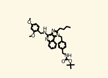 CCCCc1nc2c(NCc3ccc(OC)cc3OC)nc3ccccc3c2n1Cc1ccc(CNC(=O)OC(C)(C)C)cc1